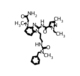 CCn1nc(C)cc1C(=O)Nc1nc2c(N(C)CC(N)=O)cccc2n1CCCNC(=O)N(C)Cc1ccccc1